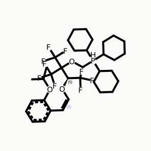 CC(C)Oc1ccccc1/C=C\O[C@H](C(F)(F)F)C(OC[PH](C1CCCCC1)(C1CCCCC1)C1CCCCC1)(C(F)(F)F)C(F)(F)F